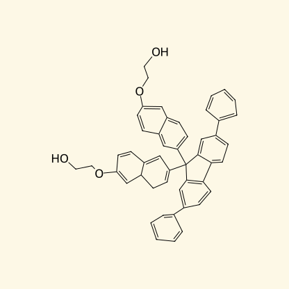 OCCOC1=CC2CC=C(C3(c4ccc5cc(OCCO)ccc5c4)c4cc(-c5ccccc5)ccc4-c4ccc(-c5ccccc5)cc43)C=C2C=C1